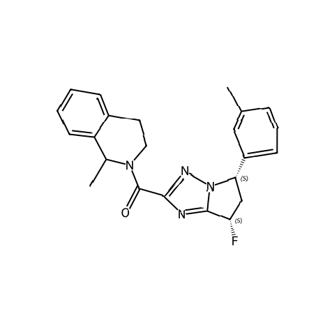 Cc1cccc([C@@H]2C[C@H](F)c3nc(C(=O)N4CCc5ccccc5C4C)nn32)c1